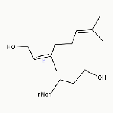 CC(C)=CCC/C(C)=C\CO.CCCCCCCCCCCCO